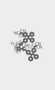 CC(=C(C#N)C#N)c1ccc(C(=C(c2ccccc2)c2ccc(-c3cc(C4=C(c5cc(-c6ccc(C(=C(c7ccccc7)c7ccc(C(C)=C(C#N)C#N)cc7)c7ccccc7)cc6)sc5C)C(F)(F)C(F)(F)C4(F)F)c(C)s3)cc2)c2ccccc2)cc1